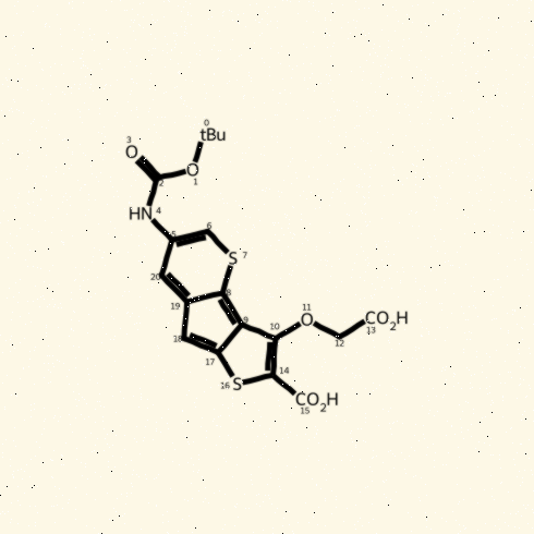 CC(C)(C)OC(=O)Nc1csc2c3c(OCC(=O)O)c(C(=O)O)sc3cc-2c1